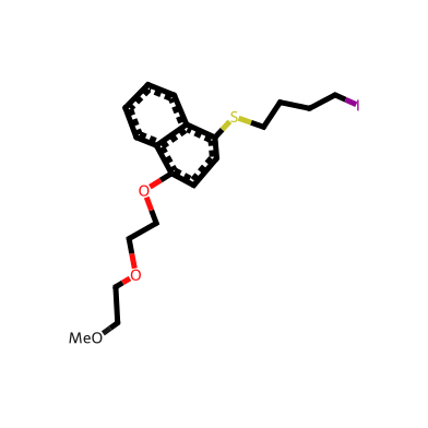 COCCOCCOc1ccc(SCCCCI)c2ccccc12